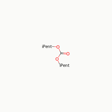 CCCC(C)OC(=O)OC(C)CCC